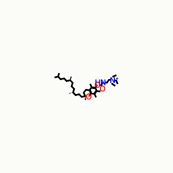 CC[N+](CC)(CC)CCNC(=O)Oc1c(C)c(C)c2c(c1C)CC[C@@](C)(CCC[C@H](C)CCC[C@H](C)CCCC(C)C)O2